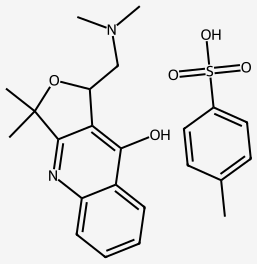 CN(C)CC1OC(C)(C)c2nc3ccccc3c(O)c21.Cc1ccc(S(=O)(=O)O)cc1